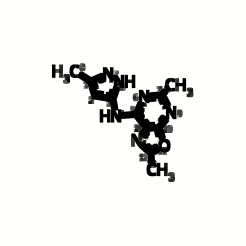 Cc1cc(Nc2nc(C)nc3oc(C)nc23)[nH]n1